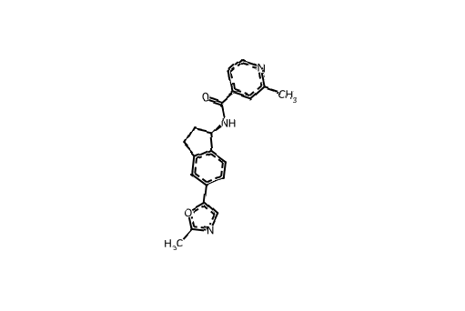 Cc1cc(C(=O)N[C@@H]2CCc3cc(-c4cnc(C)o4)ccc32)ccn1